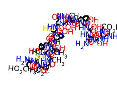 C[C@H](NC(=O)[C@H](C)NC(=O)[C@H](CC(=O)O)NC(=O)[C@H](C)NC(=O)[C@H](CS)NC(=O)[C@@H](N)CCC(=O)O)C(=O)N[C@H](C(=O)N[C@@H](Cc1ccc(O)cc1)C(=O)N[C@@H](Cc1ccc(O)cc1)C(=O)N[C@@H](CS)C(=O)N[C@@H](CCC(N)=O)C(=O)N[C@@H](CO)C(=O)N[C@H](C(=O)N[C@@H](Cc1ccc(O)cc1)C(=O)NCC(=O)N[C@@H](CO)C(=O)N[C@@H](CC(N)=O)C(=O)N[C@@H](CO)C(=O)N[C@@H](CC(N)=O)C(=O)NCC(=O)O)[C@@H](C)O)[C@@H](C)O